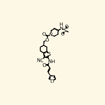 CS(=O)(=O)NC1CCN(C(=O)OCC2CCc3c(sc(NC(=O)C=Cc4ccoc4)c3C#N)C2)CC1